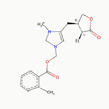 CC[C@@H]1C(=O)OC[C@@H]1CC1=CN(COC(=O)c2ccccc2C)CN1C